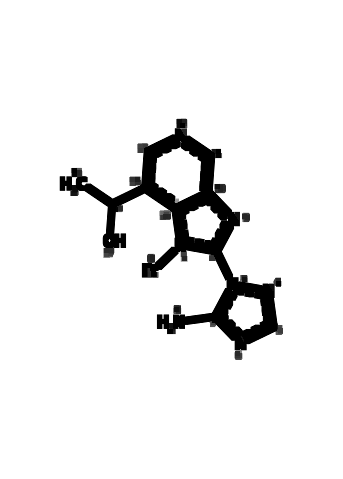 CCn1c(-n2ncnc2N)nc2cncc(C(C)O)c21